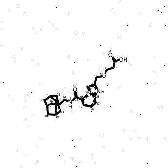 O=C(O)CCOCc1cn2c(C(=O)NCC34CC5CC(CC(C5)C3)C4)cccc2n1